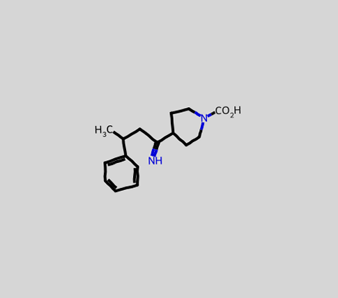 CC(CC(=N)C1CCN(C(=O)O)CC1)c1ccccc1